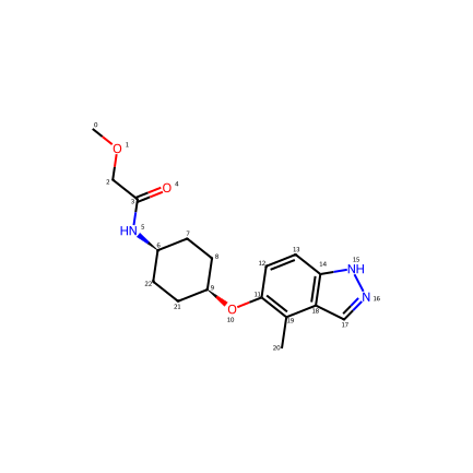 COCC(=O)N[C@H]1CC[C@@H](Oc2ccc3[nH]ncc3c2C)CC1